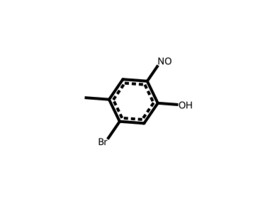 Cc1cc(N=O)c(O)cc1Br